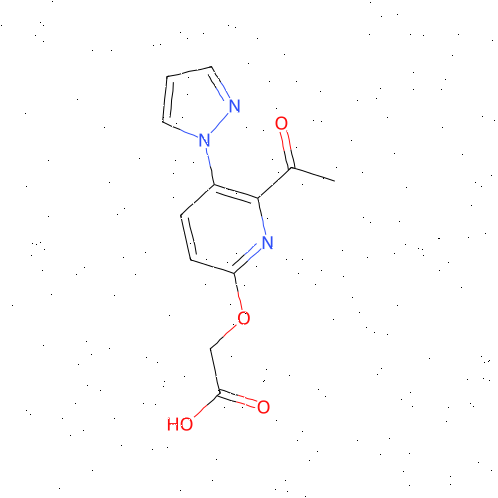 CC(=O)c1nc(OCC(=O)O)ccc1-n1cccn1